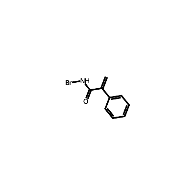 C=C(C(=O)NBr)c1ccccc1